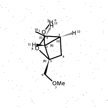 [3H]O[C@@H]1[C@@H]2C[C@]1(COC)O[C@H]2C